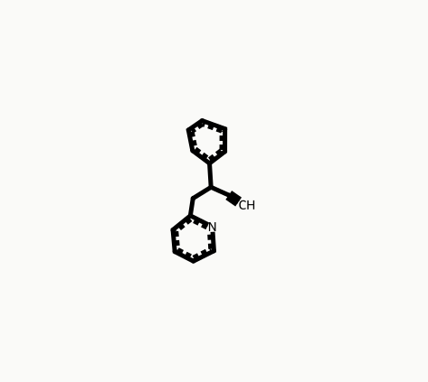 C#CC(Cc1ccccn1)c1ccccc1